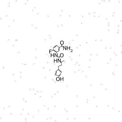 CC(CCc1ccc(O)cc1)NC(=O)Nc1cc(C(N)=O)ccc1F